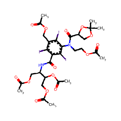 CC(=O)OCCN(C(=O)C1COC(C)(C)O1)c1c(I)c(COC(C)=O)c(I)c(C(=O)NC(COC(C)=O)C(COC(C)=O)OC(C)=O)c1I